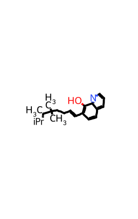 CC(C)C(C)C(C)(C)CCC=Cc1ccc2cccnc2c1O